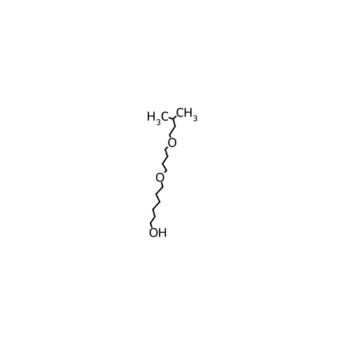 CC(C)CCOCCCCOCCCCCCO